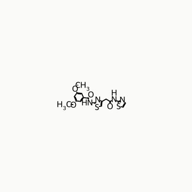 COc1cc(OC)cc(C(=O)Nc2nc(CC(=O)Nc3nccs3)cs2)c1